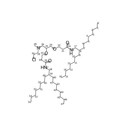 CCCCCCCCC(CCCCCCCC)CNC(=O)CCOCC(CN(C)CCCl)OCCC(=O)NCC(CCCCCCCC)CCCCCCCC